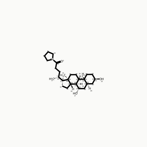 C[C@H](CCC(=O)N1CCCC1)[C@H]1CC[C@H]2[C@@H]3[C@@H](O)C[C@@H]4C[C@H](O)CC[C@]4(C)[C@H]3CC[C@]12C